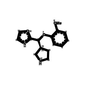 COc1ccccc1OC(c1ncco1)[C@H]1CCNC1